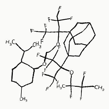 CC1CCC(C(C)C)C(OCOC(C(F)(F)F)(C(F)(F)F)C23CC4CC(C2)CC(C(OC(C)(F)C(C)(F)F)(C(F)(F)F)C(F)(F)F)(C4)C3)C1